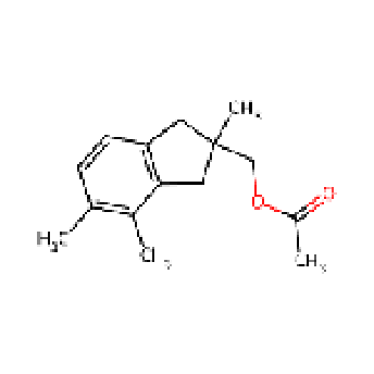 CC(=O)OCC1(C)Cc2ccc(C)c(C)c2C1